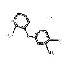 Nc1cc(Oc2cccnc2N)ccc1Cl